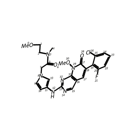 COCCN(C)C(=O)Cn1ccc(Nc2ncc3cc(-c4c(F)cccc4Cl)c(=O)n(OC)c3n2)c1